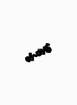 CC(C)N1CN(C(=O)NC2CCN(CCNC(=O)c3ccccc3)CC2)c2ccccc21